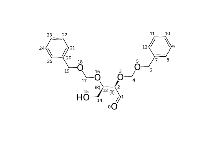 O=C[C@H](OCOCc1ccccc1)[C@@H](CO)OCOCc1ccccc1